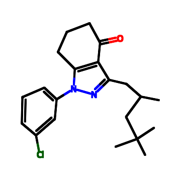 CC(Cc1nn(-c2cccc(Cl)c2)c2c1C(=O)CCC2)CC(C)(C)C